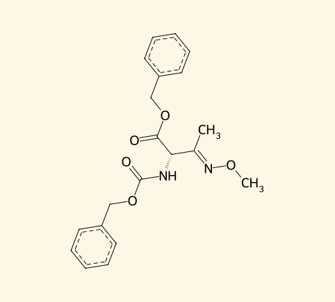 CON=C(C)[C@H](NC(=O)OCc1ccccc1)C(=O)OCc1ccccc1